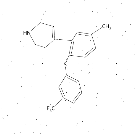 Cc1ccc(Sc2cccc(C(F)(F)F)c2)c(C2=CCNCC2)c1